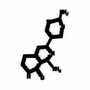 Nc1ncc(-c2cc3cc[nH]c(=O)c3c(N)n2)cn1